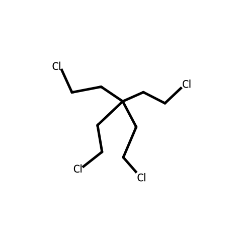 ClCCC(CCCl)(CCCl)CCCl